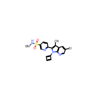 CCc1cnc2c(c1)c(C#N)c(-c1ccc(S(=O)(=O)NC(C)(C)C)cn1)n2C1=CC=C1